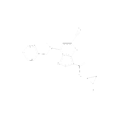 CN(Cc1ccccc1)c1cc(C#N)nc2c(C(=O)N[C@@H]3C[C@@H]3F)cnn12